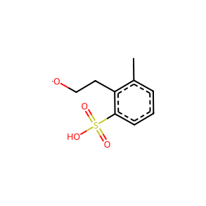 Cc1cccc(S(=O)(=O)O)c1CC[O]